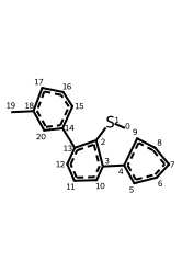 CSc1c(-c2ccccc2)cccc1-c1cccc(C)c1